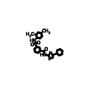 Cc1ccc(NS(=O)(=O)c2cccc(C(=O)Nc3nc(-c4ccccc4)cs3)c2)c(C)c1